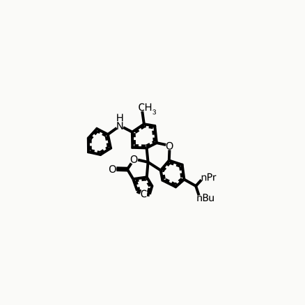 CCCCC(CCC)c1ccc2c(c1)Oc1cc(C)c(Nc3ccccc3)cc1C21OC(=O)c2ccccc21